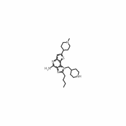 CCCCc1nc2c(N)nc3cc(C4CCN(C)CC4)sc3c2n1CC1CCNCC1